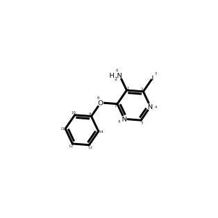 Nc1c(I)ncnc1Oc1ccccc1